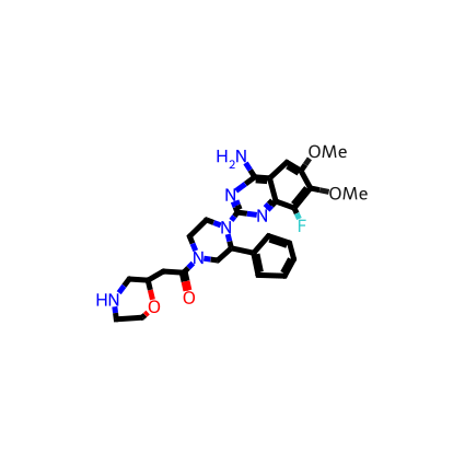 COc1cc2c(N)nc(N3CCN(C(=O)CC4CNCCO4)CC3c3ccccc3)nc2c(F)c1OC